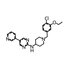 CCOc1cc(CN2CCC(Nc3ncc(-c4cccnc4)cn3)CC2)ccc1Cl